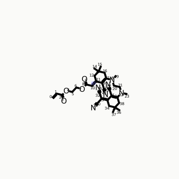 C=CC(=O)OCCOC(=O)/C=C1\CC(C)(C)CC(N(C)CCN(C)C2=C(C#N)C(=C(C#N)C#N)CC(C)(C)C2)=C1C#N